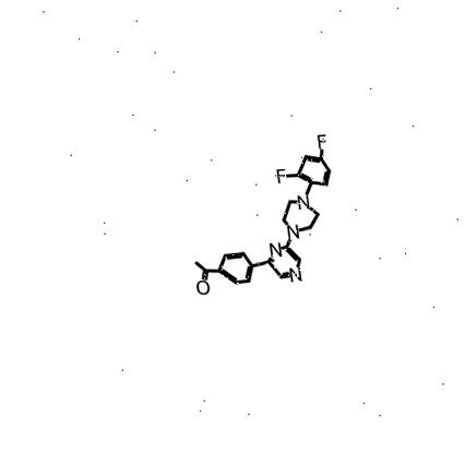 CC(=O)c1ccc(-c2cncc(N3CCN(c4ccc(F)cc4F)CC3)n2)cc1